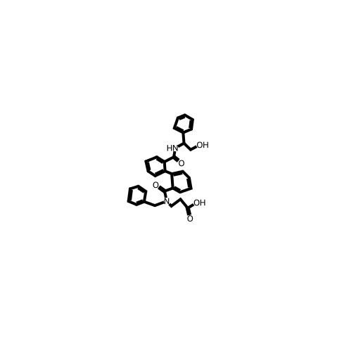 O=C(O)CCN(Cc1ccccc1)C(=O)c1ccccc1-c1ccccc1C(=O)NC(CO)c1ccccc1